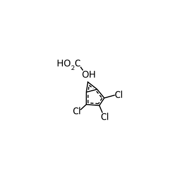 Clc1c2cc-2c(Cl)c1Cl.O=C(O)O